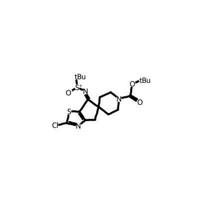 CC(C)(C)OC(=O)N1CCC2(CC1)Cc1nc(Cl)sc1C2=N[S+]([O-])C(C)(C)C